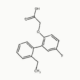 CCc1ccccc1-c1cc(F)ccc1OCC(=O)O